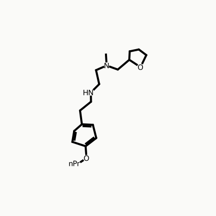 CCCOc1ccc(CCNCCN(C)CC2CCCO2)cc1